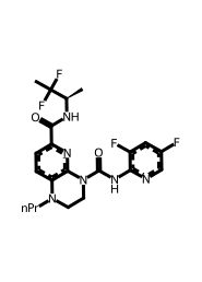 CCCN1CCN(C(=O)Nc2ncc(F)cc2F)c2nc(C(=O)N[C@H](C)C(C)(F)F)ccc21